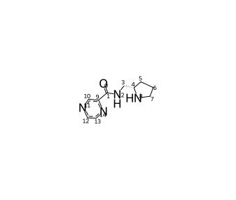 O=C(NC[C@@H]1CCCN1)c1cnccn1